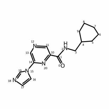 O=C(NCC1CCCCC1)c1cncc(-n2ccnc2)n1